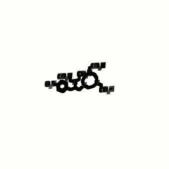 O=C(O)CN1CCN(CC(=O)O)CCN(CC(Cc2ccc([N+](=O)[O-])cc2)N(CC(=O)O)CC(=O)O)CC1